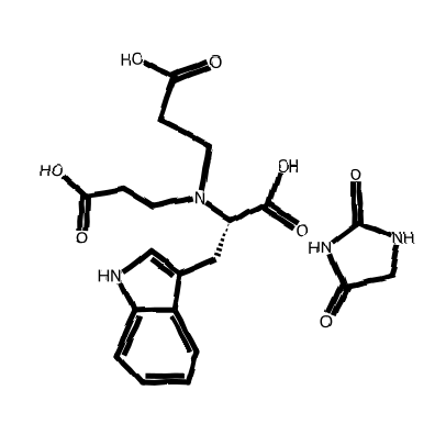 O=C(O)CCN(CCC(=O)O)[C@@H](Cc1c[nH]c2ccccc12)C(=O)O.O=C1CNC(=O)N1